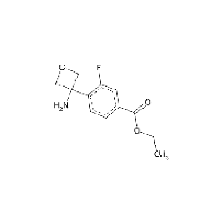 CCOC(=O)c1ccc(C2(N)COC2)c(F)c1